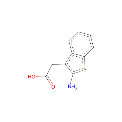 Nc1sc2ccccc2c1CC(=O)O